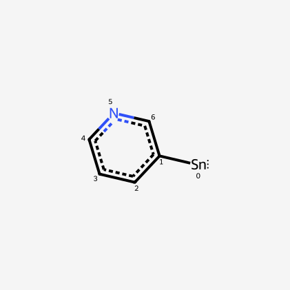 [Sn][c]1cccnc1